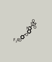 CN1C(=O)SC(c2cnc3cc(OCc4ccc(OC(F)(F)F)cc4)ccc3c2)C1=O